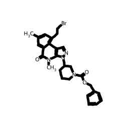 Cc1cc(CCBr)c2c(c1)c(=O)n(C)c1c2cnn1C1CCCN(C(=O)OCc2ccccc2)C1